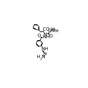 COC(=O)N(NC(=O)c1cccc(NC=NN)c1)C(Cc1ccccc1)C(=O)O